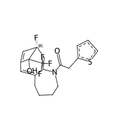 O=C(Cc1cccs1)N1CCCCC2=CC3=C[C@@](F)(C=C21)C3(O)C(F)(F)F